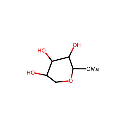 COC1OCC(O)C(O)C1O